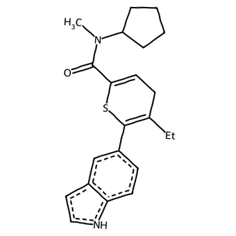 CCC1=C(c2ccc3[nH]ccc3c2)SC(C(=O)N(C)C2CCCC2)=CC1